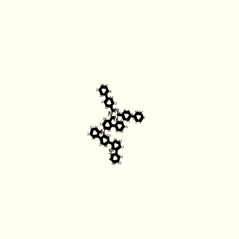 c1ccc(-c2ccc(-c3nc(-c4ccc(-c5ccccc5)cc4)nc(-c4ccc(-n5c6ccccc6c6ccc(-c7cccc8c7sc7ccccc78)cc65)cc4-c4ccccc4)n3)cc2)cc1